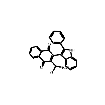 CCCCCCCCC(CC)C1=C(c2c(-c3ccccc3)[nH]c3ccccc23)C(=O)c2ccccc2C1=O